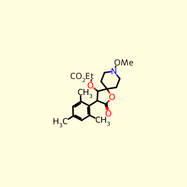 CCOC(=O)OC1C(c2c(C)cc(C)cc2C)C(=O)OC12CCN(OC)CC2